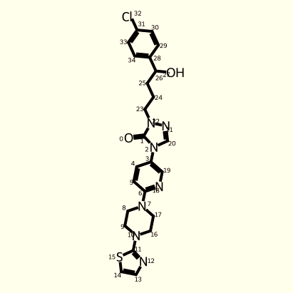 O=c1n(-c2ccc(N3CCN(c4nccs4)CC3)nc2)cnn1CCCC(O)c1ccc(Cl)cc1